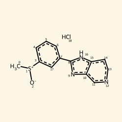 C[S+]([O-])c1cccc(-c2nc3cnccc3[nH]2)c1.Cl